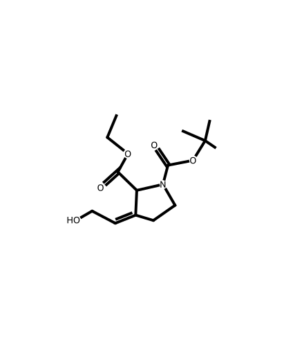 CCOC(=O)C1C(=CCO)CCN1C(=O)OC(C)(C)C